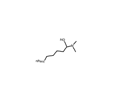 CCCCCCCCCC(O)N(C)C